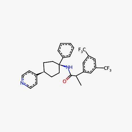 CC(C(=O)N[C@]1(c2ccccc2)CC[C@H](c2ccncc2)CC1)c1cc(C(F)(F)F)cc(C(F)(F)F)c1